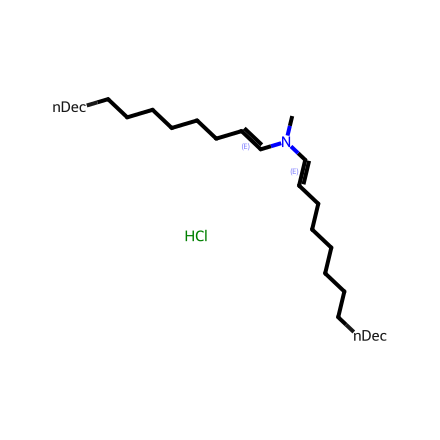 CCCCCCCCCCCCCCCC/C=C/N(C)/C=C/CCCCCCCCCCCCCCCC.Cl